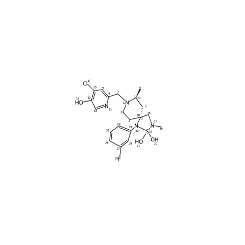 C[C@H]1C[C@]2(CCN1Cc1cc(Cl)c(O)cn1)CN(C)S(O)(O)N2c1cccc(F)c1